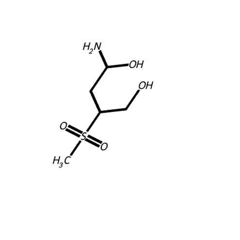 CS(=O)(=O)C(CO)CC(N)O